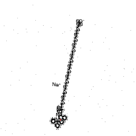 CCOCc1nc2c(NC(c3ccccc3)(c3ccccc3)c3ccccc3)nc3ccccc3c2n1CC(C)(C)OCCOCCOCCOCCOCCOCCOCCOCCOCCOCCOCCOCCOCCOCCOCCOCCOS(=O)(=O)[O-].[Na+]